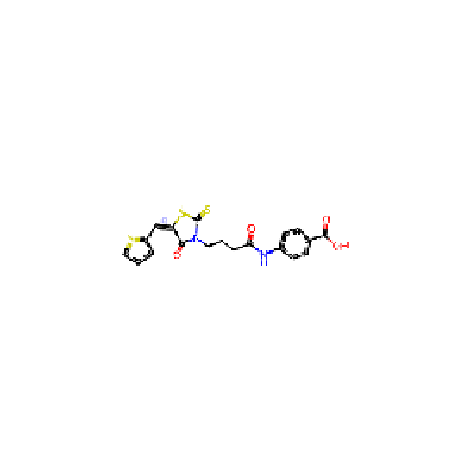 O=C(CCCN1C(=O)/C(=C\c2cccs2)SC1=S)Nc1ccc(C(=O)O)cc1